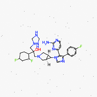 Nc1nccc(-c2c(-c3ccc(F)cc3)ncn2C2[C@H]3CN(CC(O)(CN4CNCN4)C4CCC(F)CC4F)C[C@@H]23)n1